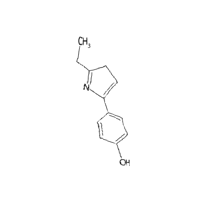 CCC1=NC(c2ccc(O)cc2)=CC1